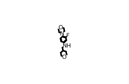 Fc1cc(NCC2CCOCC2)ccc1N1CCOCC1